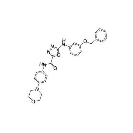 O=C(Nc1ccc(N2CCOCC2)cc1)c1nnc(Nc2cccc(OCc3ccccc3)c2)o1